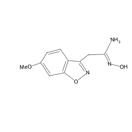 COc1ccc2c(CC(N)=NO)noc2c1